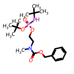 CN(CCOP(=O)(OC(C)(C)C)PC(C)(C)C)C(=O)OCc1ccccc1